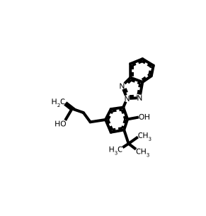 C=C(O)CCc1cc(-n2nc3ccccc3n2)c(O)c(C(C)(C)C)c1